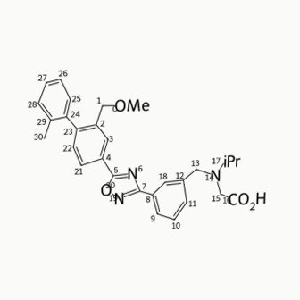 COCc1cc(-c2nc(-c3cccc(CN(CC(=O)O)C(C)C)c3)no2)ccc1-c1ccccc1C